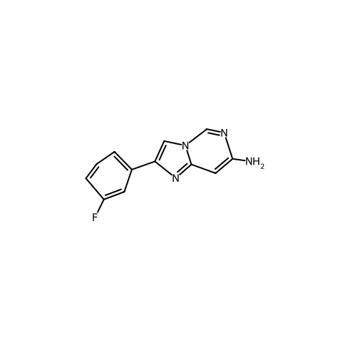 Nc1cc2nc(-c3cccc(F)c3)cn2cn1